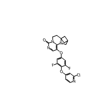 O=c1ncc(Oc2cc(F)c(Oc3ccnc(Cl)c3)c(F)c2)c2n1CCC13CC(CN21)C3